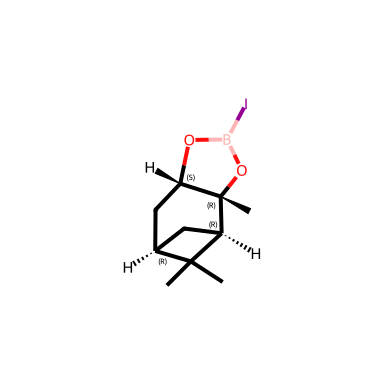 CC1(C)[C@H]2C[C@@H]3OB(I)O[C@]3(C)[C@@H]1C2